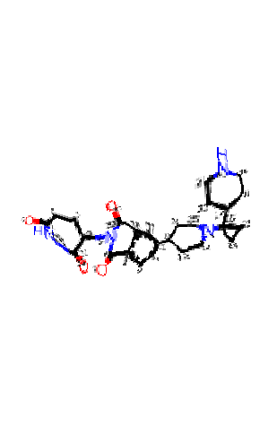 O=C1CCC(N2C(=O)c3ccc(C4CCN(C5(C6CCNCC6)CC5)CC4)cc3C2=O)C(=O)N1